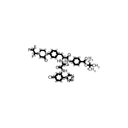 CC(C)(C)OC(=O)c1ccc(NC(=O)C(Cc2ccc(N3CCN(C(F)C(F)F)CC3=O)cc2)NC(=O)C(=O)Nc2cc(Cl)ccc2-n2cnnn2)cc1